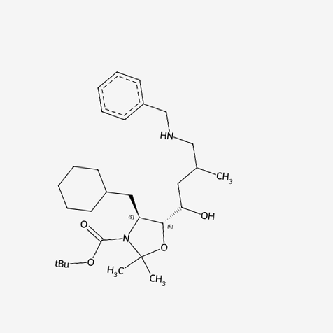 CC(CNCc1ccccc1)CC(O)[C@@H]1OC(C)(C)N(C(=O)OC(C)(C)C)[C@H]1CC1CCCCC1